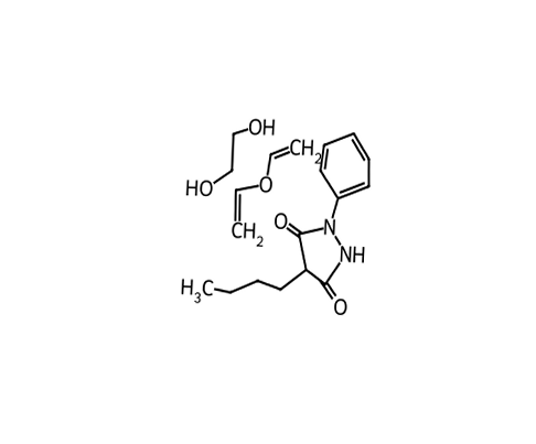 C=COC=C.CCCCC1C(=O)NN(c2ccccc2)C1=O.OCCO